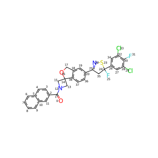 O=C(c1ccc2ccccc2c1)N1CC2(C1)OCc1cc(C3=NSC(F)(c4cc(Cl)c(F)c(Cl)c4)C3)ccc12